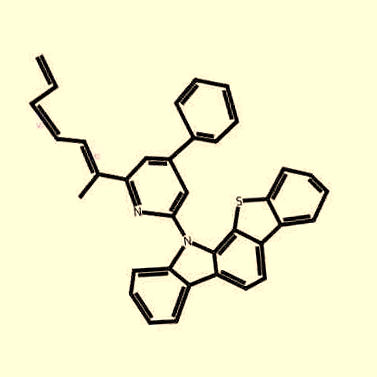 C=C/C=C\C=C(/C)c1cc(-c2ccccc2)cc(-n2c3ccccc3c3ccc4c5ccccc5sc4c32)n1